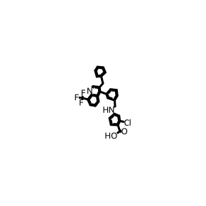 O=C(O)c1ccc(NCc2cccc(-c3c(Cc4ccccc4)cnc4c(C(F)(F)F)cccc34)c2)cc1Cl